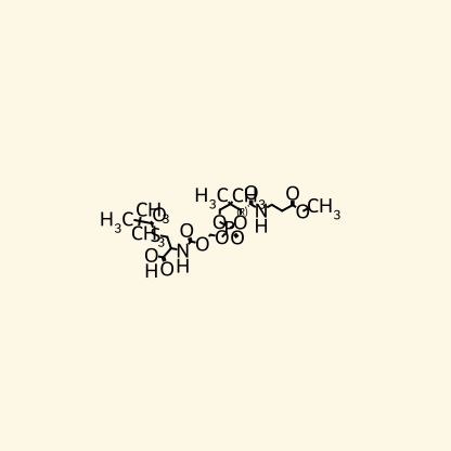 COC(=O)CCNC(=O)[C@@H]1OP(=O)(OCOC(=O)NC(CSC(=O)C(C)(C)C)C(=O)O)OCC1(C)C